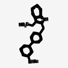 CC(=O)Nc1cccc(-c2ccc(Cc3[nH]c4ccccc4c3CC(=O)O)cc2)c1